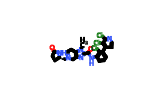 Cn1c(C(=O)Nc2cccc(-c3ccnc(Cl)c3Cl)c2Cl)nc2c1CCN(C[C@@H]1CCC(=O)N1)C2